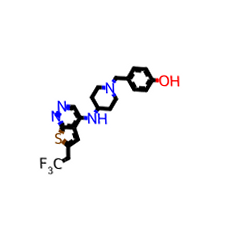 Oc1ccc(CN2CCC(Nc3cnnc4sc(CC(F)(F)F)cc34)CC2)cc1